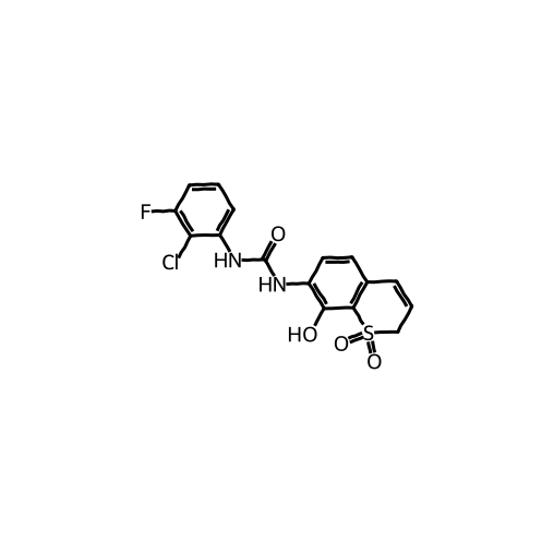 O=C(Nc1ccc2c(c1O)S(=O)(=O)CC=C2)Nc1cccc(F)c1Cl